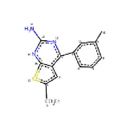 CCOC(=O)c1cc2c(-c3cccc(C)c3)nc(N)nc2s1